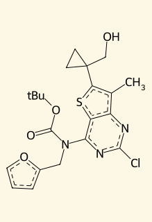 Cc1c(C2(CO)CC2)sc2c(N(Cc3ccco3)C(=O)OC(C)(C)C)nc(Cl)nc12